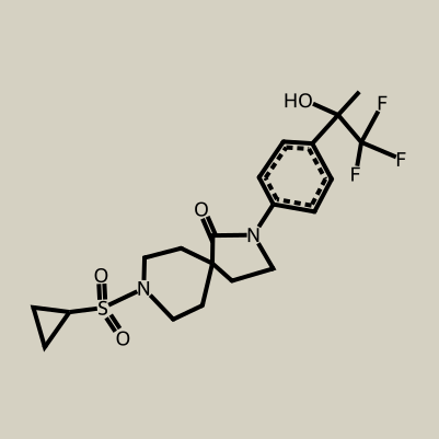 CC(O)(c1ccc(N2CCC3(CCN(S(=O)(=O)C4CC4)CC3)C2=O)cc1)C(F)(F)F